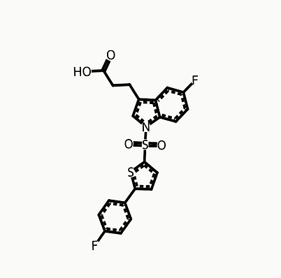 O=C(O)CCc1cn(S(=O)(=O)c2ccc(-c3ccc(F)cc3)s2)c2ccc(F)cc12